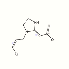 O=[N+]([O-])/C=C1\NCCN1C/C=C\Cl